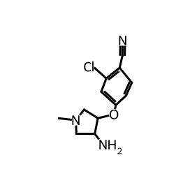 CN1CC(N)C(Oc2ccc(C#N)c(Cl)c2)C1